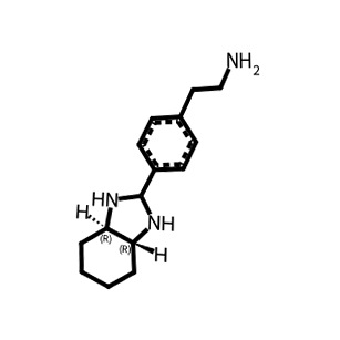 NCCc1ccc(C2N[C@@H]3CCCC[C@H]3N2)cc1